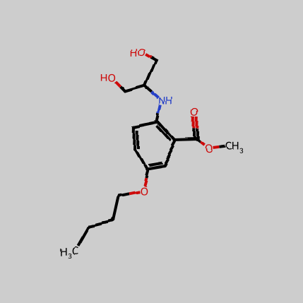 CCCCOc1ccc(NC(CO)CO)c(C(=O)OC)c1